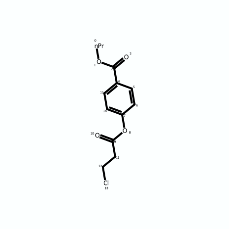 CCCOC(=O)c1ccc(OC(=O)CCCl)cc1